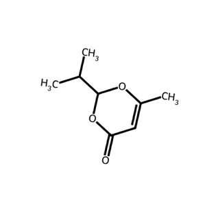 CC1=CC(=O)OC(C(C)C)O1